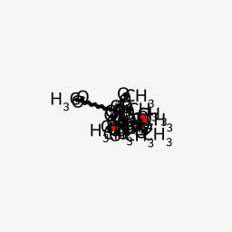 COC(=O)CCCCCCCCO[C@H]1O[C@H](COC(C)=O)[C@@H](OC(C)=O)[C@H](O[C@H]2O[C@H](COC(C)=O)[C@@H](OC(C)=O)[C@H](OC(C)=O)[C@H]2OC2OC[C@@H](OC(C)=O)[C@H](OC(C)=O)[C@H]2OC(C)=O)[C@H]1OC(C)=O